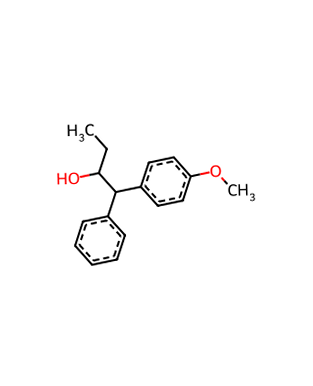 CCC(O)C(c1ccccc1)c1ccc(OC)cc1